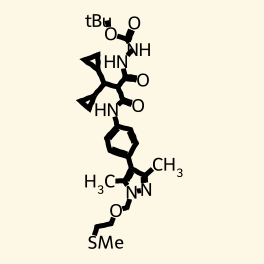 CSCCOCn1nc(C)c(-c2ccc(NC(=O)C(C(=O)NNC(=O)OC(C)(C)C)C(C3CC3)C3CC3)cc2)c1C